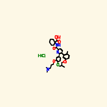 Cc1ccc(OCC(C)C)cc1-c1ccc(C(=O)NC2(C(=O)O)CCCCC2)nc1-c1ccc(Cl)c(OCCCN(C)C)c1.Cl